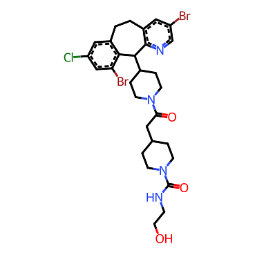 O=C(CC1CCN(C(=O)NCCO)CC1)N1CCC(C2c3ncc(Br)cc3CCc3cc(Cl)cc(Br)c32)CC1